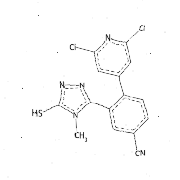 Cn1c(S)nnc1-c1cc(C#N)ccc1-c1cc(Cl)nc(Cl)c1